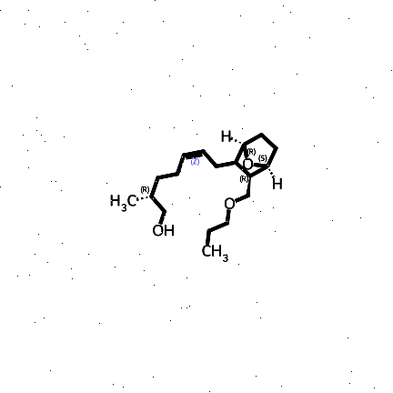 CCCOC[C@H]1C(C/C=C\CC[C@@H](C)CO)[C@H]2CC[C@@H]1O2